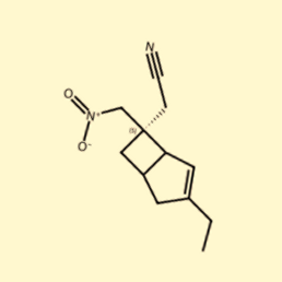 CCC1=CC2C(C1)C[C@@]2(CC#N)C[N+](=O)[O-]